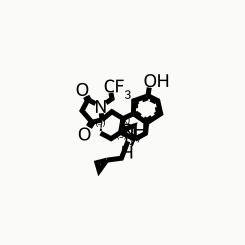 O=C1CC(=O)[C@@]2(CC[C@@]3(O)[C@H]4Cc5ccc(O)cc5[C@@]3(CCN4CC3CC3)C2)N1CC(F)(F)F